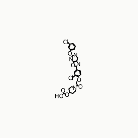 O=C(O)OC1CCN(C(=O)COc2ccc(-c3nc4cnc(Oc5cccc(Cl)c5)nc4o3)cc2Cl)CC1